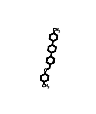 CC1CCC(OCC2C=CC(C3CCC(C4CCC(C)CC4)CC3)CC2)CC1